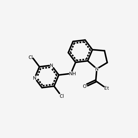 CCC(=O)N1CCc2cccc(Nc3nc(Cl)ncc3Cl)c21